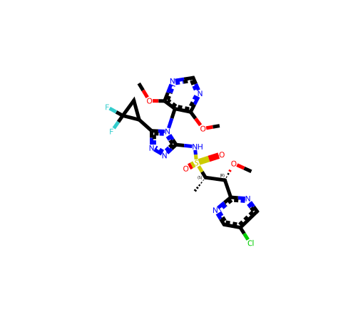 COc1ncnc(OC)c1-n1c(NS(=O)(=O)[C@@H](C)[C@H](OC)c2ncc(Cl)cn2)nnc1C1CC1(F)F